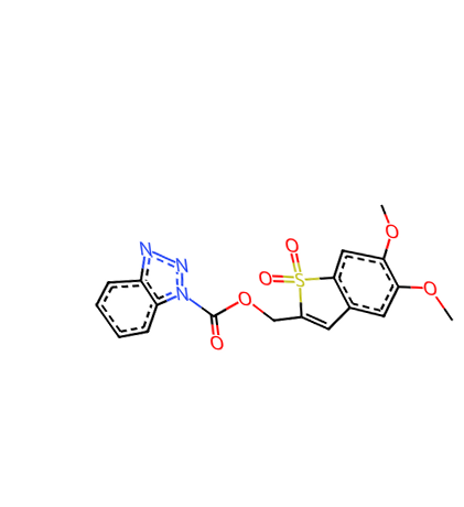 COc1cc2c(cc1OC)S(=O)(=O)C(COC(=O)n1nnc3ccccc31)=C2